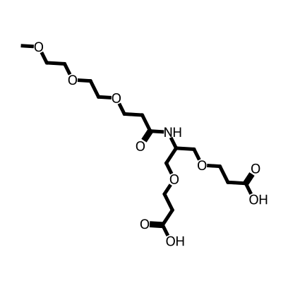 COCCOCCOCCC(=O)NC(COCCC(=O)O)COCCC(=O)O